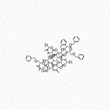 CCC1O[C@@H](OC2[C@@H](OCC3O[C@@H](O[C@@H]4C(COCc5ccccc5)O[C@@H](OCc5ccccc5)C(C)[C@H]4C)C(OCc4ccccc4)[C@@H](O[C@@H]4OC(CC)[C@H](C)[C@@H](C)C4O[C@@H]4OC(CC)[C@@H](O[C@@H]5OC(COCc6ccccc6)[C@H](C)[C@H](C)C5OC(C)=O)[C@H](C)C4C)[C@@H]3O)OC(CC)[C@@H](C)[C@@H]2C)C(C)[C@@H](C)[C@@H]1C